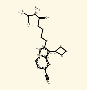 CC(C)[C@H](C)C(=O)CCCCc1nn2ccc(C#N)cc2c1C1CCC1